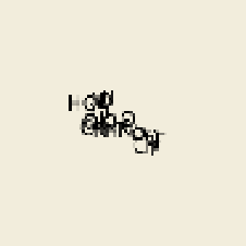 O=C(Nc1ccc(OC(F)(F)Cl)cc1)c1cc(-c2cncnc2)c2c(c1)nc1n2[C@H](CO)CCO1